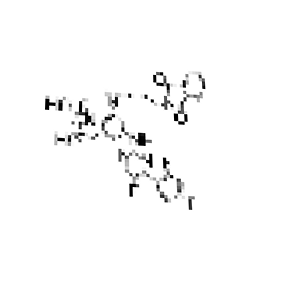 CN(CCCCN1C(=O)c2ccccc2C1=O)c1cc(C[SH](C)(O)=NC(=O)O)cc(Nc2ncc(F)c(-c3ccc(F)cc3F)n2)c1